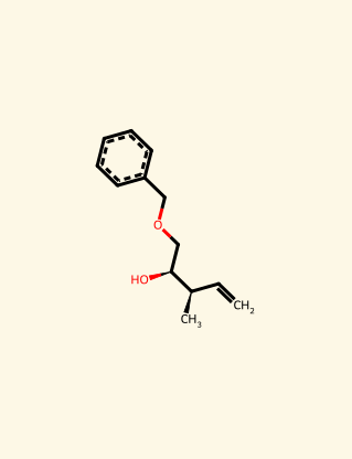 C=C[C@@H](C)[C@@H](O)COCc1ccccc1